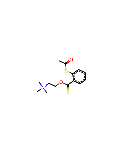 CC(=O)Sc1ccccc1C(=S)OCC[N+](C)(C)C